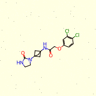 O=C(COc1ccc(Cl)c(Cl)c1)NC12CC(N3CCNC3=O)(C1)C2